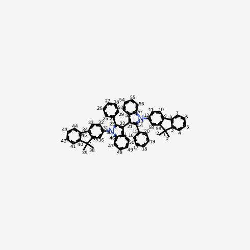 CC1(C)c2ccccc2-c2ccc(-n3c(-c4ccccc4)c(-c4c(-c5ccccc5)n(-c5ccc6c(c5)C(C)(C)c5ccccc5-6)c5ccccc45)c4ccccc43)cc21